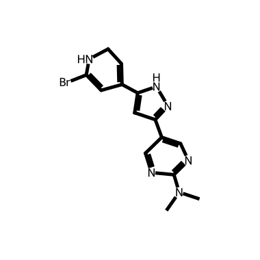 CN(C)c1ncc(-c2cc(C3=CCNC(Br)=C3)[nH]n2)cn1